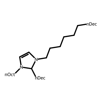 CCCCCCCCCCCCCCCCN1C=CN(CCCCCCCC)C1CCCCCCCCCC